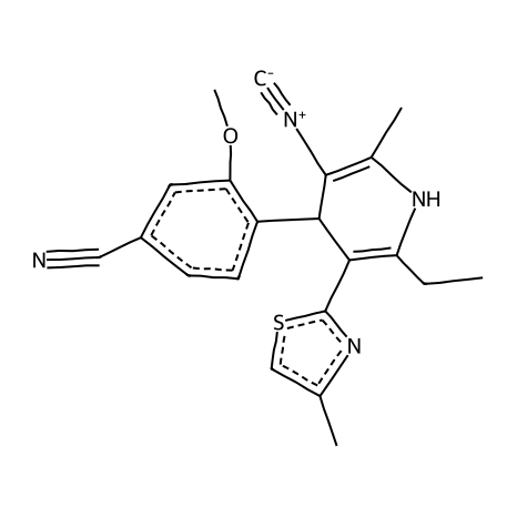 [C-]#[N+]C1=C(C)NC(CC)=C(c2nc(C)cs2)C1c1ccc(C#N)cc1OC